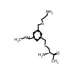 CNCc1cc(CSCCN)cc(CSC[C@H](N)C(C)=O)c1